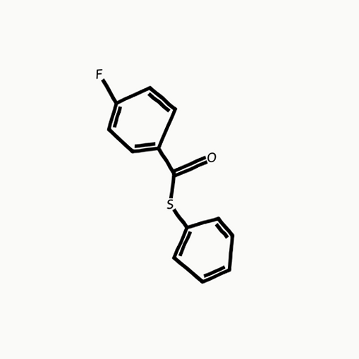 O=C(Sc1ccccc1)c1ccc(F)cc1